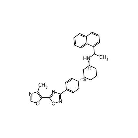 Cc1ncoc1-c1nc(C2=CCC([C@H]3CCC[C@H](NC(C)c4cccc5ccccc45)C3)C=C2)no1